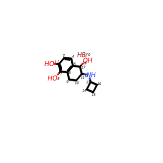 Br.Oc1ccc2c(c1O)CCC(NC1CCC1)C2O